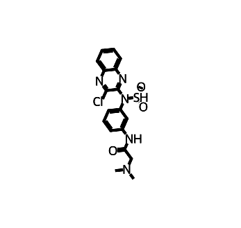 CN(C)CC(=O)Nc1cccc(N(c2nc3ccccc3nc2Cl)[SH](=O)=O)c1